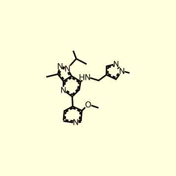 COc1cnccc1-c1cc(NCc2cnn(C)c2)c2c(n1)c(C)nn2C(C)C